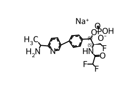 CC(N)c1ccc(-c2ccc([C@@H](OP(=O)([O-])O)[C@@H](CF)NC(=O)C(F)F)cc2)cn1.[Na+]